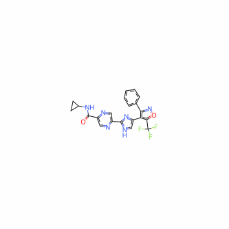 O=C(NC1CC1)c1cnc(-c2nc(-c3c(-c4ccccc4)noc3C(F)(F)F)c[nH]2)cn1